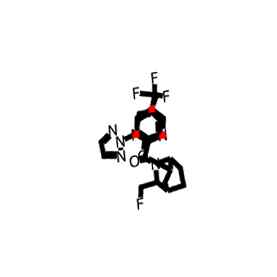 Cc1cnc(C(=O)N2C(CF)C3CCC2C(Oc2ccc(C(F)(F)F)cn2)C3)c(-n2nccn2)c1